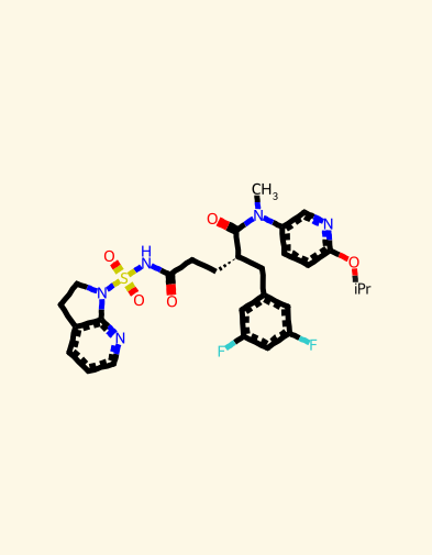 CC(C)Oc1ccc(N(C)C(=O)[C@@H](CCC(=O)NS(=O)(=O)N2CCc3cccnc32)Cc2cc(F)cc(F)c2)cn1